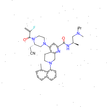 C=C(F)C(=O)N1CCN(c2cc(C(=O)N[C@H](C)CN(C)C(C)C)nc3c2CCN(c2cccc4cccc(C)c24)C3)C[C@@H]1CC#N